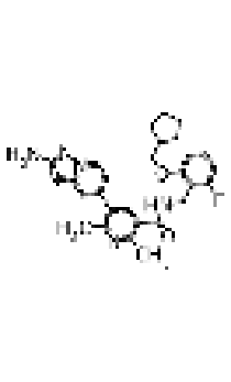 Cc1nc(C)c(-c2ccn3nc(N)nc3c2)cc1C(=O)NCc1c(F)cccc1OCC1CCCC1